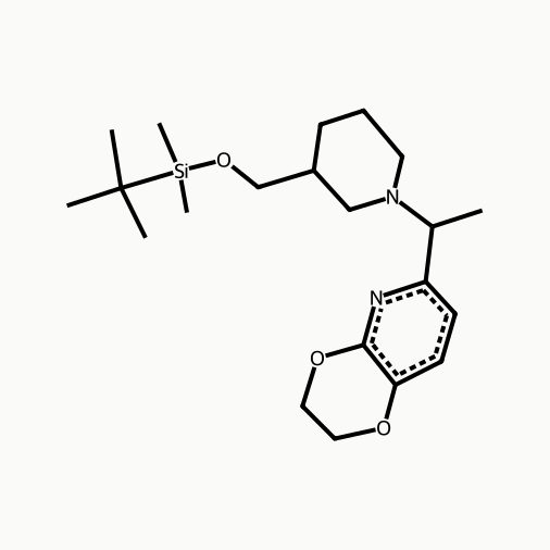 CC(c1ccc2c(n1)OCCO2)N1CCCC(CO[Si](C)(C)C(C)(C)C)C1